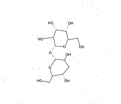 OCC1O[C@H](O[C@H]2OC(CO)[C@@H](O)CC2O)C(O)[C@H](O)[C@@H]1O